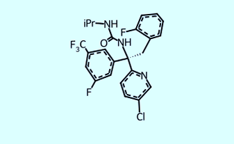 CC(C)NC(=O)N[C@](Cc1ccccc1F)(c1cc(F)cc(C(F)(F)F)c1)c1ccc(Cl)cn1